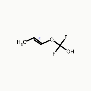 C/C=C/OC(O)(F)F